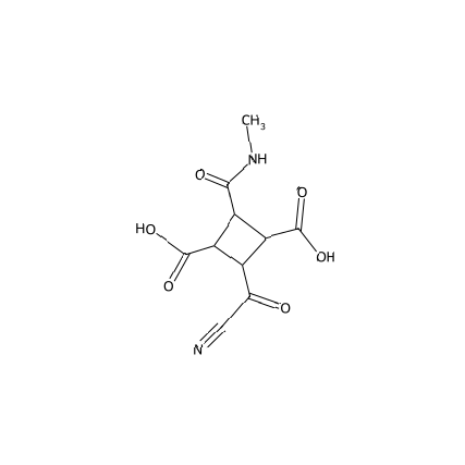 CNC(=O)C1C(C(=O)O)C(C(=O)C#N)C1C(=O)O